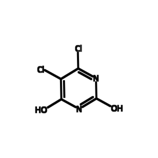 Oc1nc(O)c(Cl)c(Cl)n1